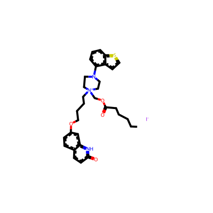 CCCCCC(=O)OC[N+]1(CCCCOc2ccc3ccc(=O)[nH]c3c2)CCN(c2cccc3sccc23)CC1.[I-]